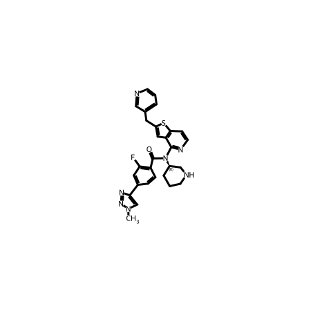 Cn1cc(-c2ccc(C(=O)N(c3nccc4sc(Cc5cccnc5)cc34)[C@@H]3CCCNC3)c(F)c2)nn1